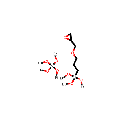 CCO[Si](CCCOCC1CO1)(OCC)OCC.CCO[Si](OCC)(OCC)OCC